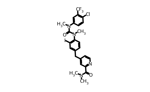 CN(C)C(=O)c1cc(Cc2ccc(N(C)C(=O)N(C)c3ccc(Cl)c(C(F)(F)F)c3)c(I)c2)ccn1